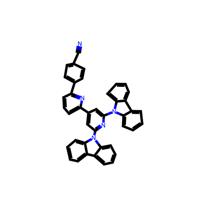 N#Cc1ccc(-c2cccc(-c3cc(-n4c5ccccc5c5ccccc54)nc(-n4c5ccccc5c5ccccc54)c3)n2)cc1